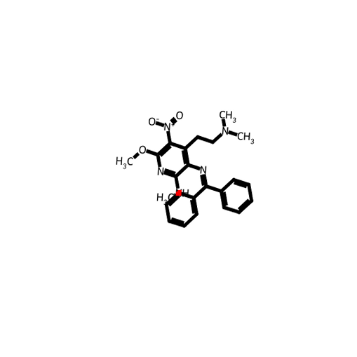 CNc1nc(OC)c([N+](=O)[O-])c(CCN(C)C)c1N=C(c1ccccc1)c1ccccc1